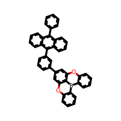 c1ccc(-c2c3ccccc3c(-c3cccc(-c4cc5c6c(c4)Oc4ccccc4B6c4ccccc4O5)c3)c3ccccc23)cc1